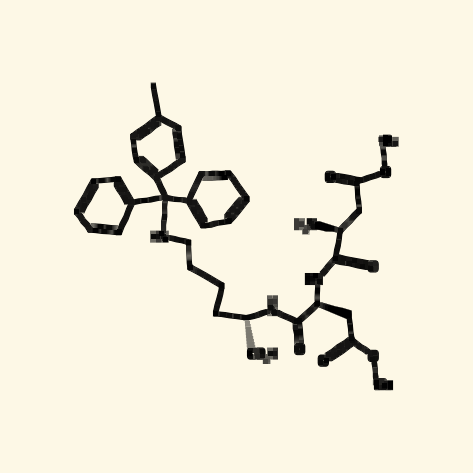 Cc1ccc(C(NCCCC[C@H](NC(=O)[C@H](CC(=O)OC(C)(C)C)NC(=O)[C@@H](N)CC(=O)OC(C)(C)C)C(=O)O)(c2ccccc2)c2ccccc2)cc1